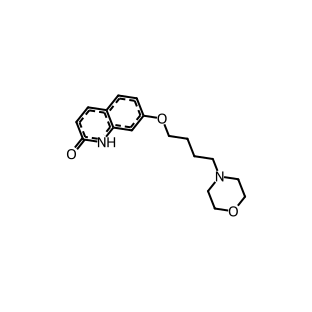 O=c1ccc2ccc(OCCCCN3CCOCC3)cc2[nH]1